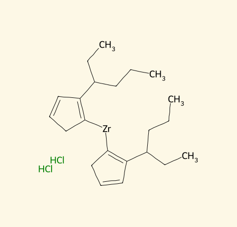 CCCC(CC)C1=[C]([Zr][C]2=C(C(CC)CCC)C=CC2)CC=C1.Cl.Cl